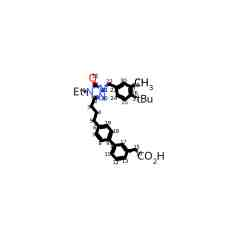 CCn1c(CCCc2ccc(-c3cccc(CC(=O)O)c3)cc2)nn(Cc2ccc(C(C)(C)C)c(C)c2)c1=O